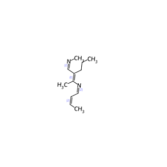 C\C=C/C=N\C(C)=C(\C=N/C)CCC